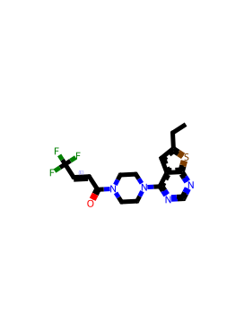 CCc1cc2c(N3CCN(C(=O)/C=C/C(F)(F)F)CC3)ncnc2s1